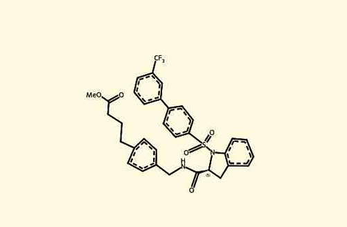 COC(=O)CCCc1ccc(CNC(=O)[C@@H]2Cc3ccccc3N2S(=O)(=O)c2ccc(-c3cccc(C(F)(F)F)c3)cc2)cc1